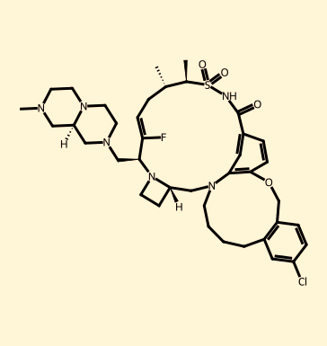 C[C@@H]1[C@@H](C)C/C=C(\F)[C@H](CN2CCN3CCN(C)C[C@@H]3C2)N2CC[C@H]2CN2CCCCc3cc(Cl)ccc3COc3ccc(cc32)C(=O)NS1(=O)=O